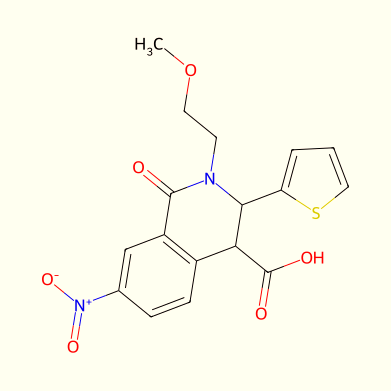 COCCN1C(=O)c2cc([N+](=O)[O-])ccc2C(C(=O)O)C1c1cccs1